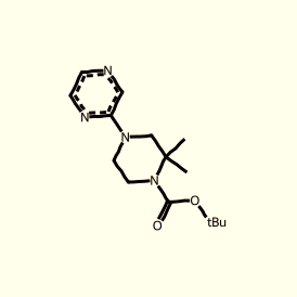 CC(C)(C)OC(=O)N1CCN(c2cnccn2)CC1(C)C